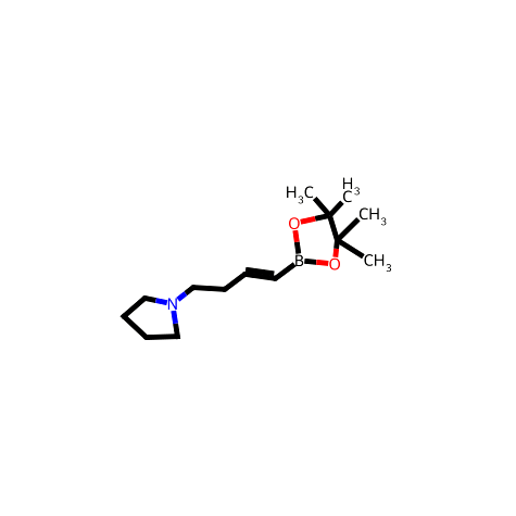 CC1(C)OB(C=CCCN2CCCC2)OC1(C)C